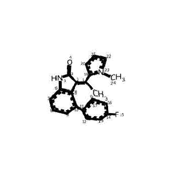 CC(=C1C(=O)Nc2cccc(-c3ccc(F)cc3)c21)c1cccn1C